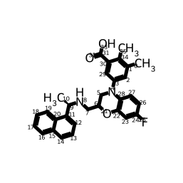 Cc1cc(N2CC(CN[C@H](C)c3cccc4ccccc34)Oc3cc(F)ccc32)cc(C(=O)O)c1C